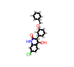 O=c1[nH]c2cc(Cl)ccc2c(O)c1-c1cccc(OCc2ccccc2)c1